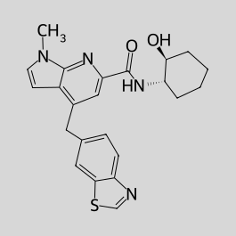 Cn1ccc2c(Cc3ccc4ncsc4c3)cc(C(=O)N[C@H]3CCCC[C@@H]3O)nc21